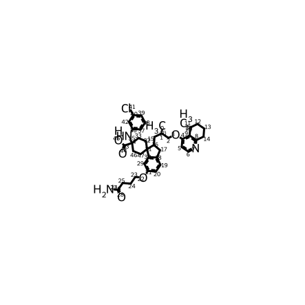 C[C@@H](COc1ccnc2c1[C@H](C)CCC2)CC1Cc2ccc(OCCCC(N)=O)cc2C12CCC(Nc1cccc(Cl)c1)(C(=O)O)CC2